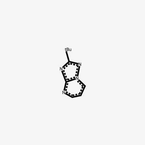 CC(C)(C)c1nc2ncccn2n1